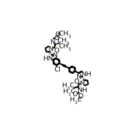 COO/C=N\[C@H](C(=O)N1CCC[C@H]1c1nc2cc(C#Cc3ccc(-c4c[nH]c([C@@H]5CCCN5C(=O)[C@@H](NC(=O)OC)C(C)C)n4)cc3)c(Cl)cc2[nH]1)C(C)C